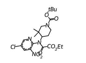 CCOC(=O)C(=O)N(c1ncc(Cl)cc1[N+](=O)[O-])C1CCN(C(=O)OC(C)(C)C)CC1(C)C